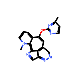 Cc1ccnc(Oc2cc3c4c(cnc-4c4c2=CC=CN4C)=NNC3)n1